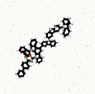 c1ccc(-c2ccc(-c3nc(-c4ccccc4)nc(-n4c5ccccc5c5cc(-c6ccc7c(c6)c6ccccc6n7-c6ccc7oc8ncc(-n9c%10ccccc%10c%10ccccc%109)cc8c7c6)c6c7ccccc7n(-c7ccccc7)c6c54)n3)cc2)cc1